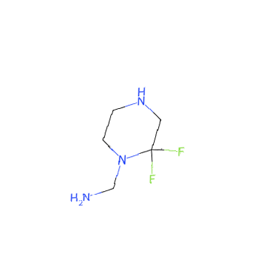 NCN1CCNCC1(F)F